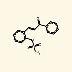 CS(=O)(=O)Nc1ccccc1C=CC(=O)c1ccccc1